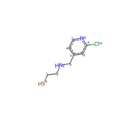 SCCNCc1ccnc(Cl)c1